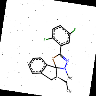 CC(=O)N1N=C(c2cc(F)ccc2F)SC12c1ccccc1C[C@@H]2CC#N